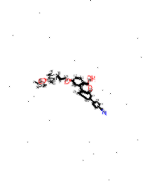 C[Si](C)(C)O[Si](C)(C)CCCOc1ccc(C(=O)O)c(-c2ccc(-c3ccc(C#N)cc3)cc2)c1